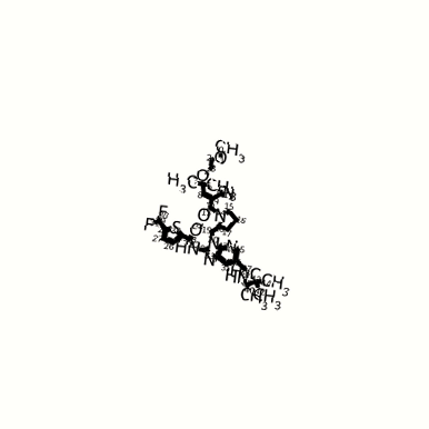 COCCOC(C)(C)C=C(C#N)C(=O)N1CCCC1Cn1c(NC(=O)c2ccc(C(F)F)s2)nc2cc(CNC(C)C(C)(C)C)cnc21